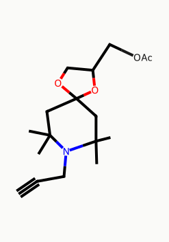 C#CCN1C(C)(C)CC2(CC1(C)C)OCC(COC(C)=O)O2